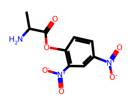 CC(N)C(=O)Oc1ccc([N+](=O)[O-])cc1[N+](=O)[O-]